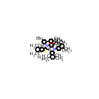 Cc1cc2c3c(c1)N(c1ccc(C(C)(C)C)cc1-c1ccc([Si](C)(C)C)cc1)c1c(sc4cc5c(cc14)C(C)(C)CCC5(C)C)B3c1cc3c(cc1N2c1ccc2c(c1)C(C)(C)CCC2(C)C)C(C)(C)CCC3(C)C